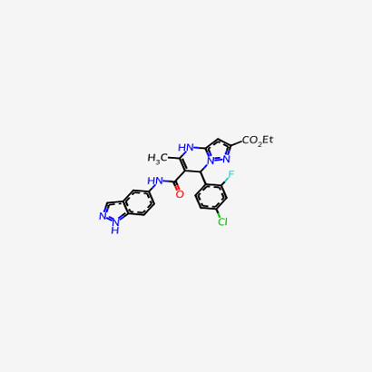 CCOC(=O)c1cc2n(n1)C(c1ccc(Cl)cc1F)C(C(=O)Nc1ccc3[nH]ncc3c1)=C(C)N2